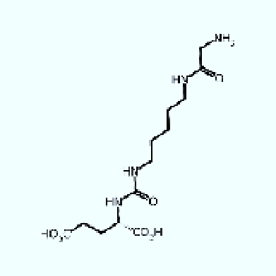 NCC(=O)NCCCCCNC(=O)N[C@@H](CCC(=O)O)C(=O)O